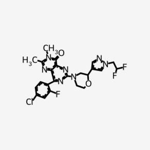 Cc1nc2c(-c3ccc(Cl)cc3F)nc(N3CCOC(c4cnn(CC(F)F)c4)C3)nc2c(=O)n1C